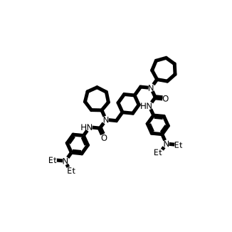 CCN(CC)c1ccc(NC(=O)N(CC2CCC(CN(C(=O)Nc3ccc(N(CC)CC)cc3)C3CCCCCC3)CC2)C2CCCCCC2)cc1